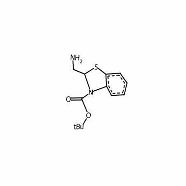 CC(C)(C)OC(=O)N1c2ccccc2SC1CN